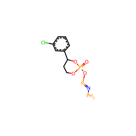 O=P1(O/P=N/P)OCCC(c2cccc(Cl)c2)O1